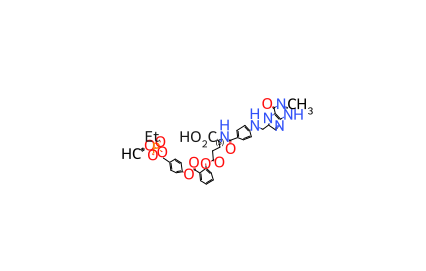 C#COP(=O)(OCC)OCc1ccc(OC(=O)c2ccccc2OC(=O)CC[C@H](NC(=O)c2ccc(NCc3cnc4[nH]c(C)nc(=O)c4n3)cc2)C(=O)O)cc1